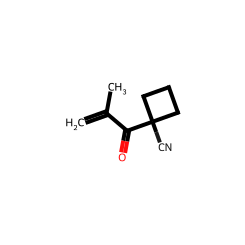 C=C(C)C(=O)C1(C#N)CCC1